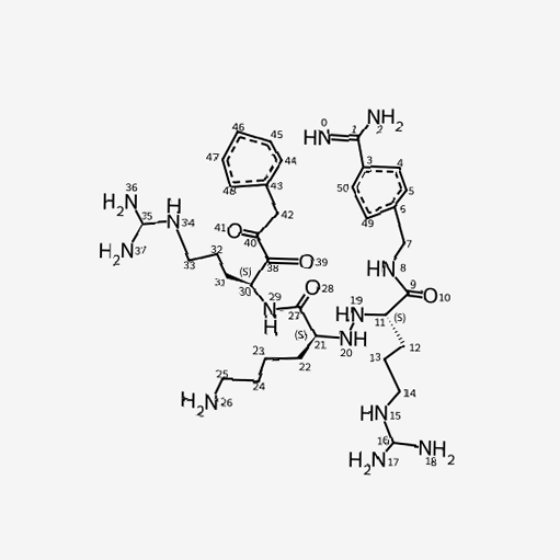 N=C(N)c1ccc(CNC(=O)[C@H](CCCNC(N)N)NN[C@@H](CCCCN)C(=O)N[C@@H](CCCNC(N)N)C(=O)C(=O)Cc2ccccc2)cc1